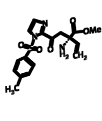 C=C[C@@](N)(CC(=O)c1nccn1S(=O)(=O)c1ccc(C)cc1)C(=O)OC